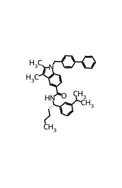 CCCC[C@H](NC(=O)c1ccc2c(c1)c(C)c(C)n2Cc1ccc(-c2ccccc2)cc1)c1cccc(C(C)C)c1